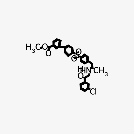 CCOC(=O)c1cccc(-c2ccc(S(=O)(=O)c3ccc(C[C@@H](C)NC[C@H](O)c4cccc(Cl)c4)cc3)cc2)c1